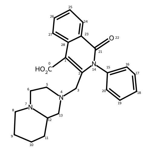 O=C(O)c1c(CN2CCN3CCCCC3C2)n(-c2ccccc2)c(=O)c2ccccc12